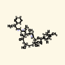 C/C(=C\C=C\[C@@H](C)c1ccccn1)[C@@H]1C(=O)C(=O)C[C@@H](O)CC[C@@](C)(O)[C@@H](OC(=O)N2C[C@H]3C[C@H]2CN3C)/C=C/[C@H]1C